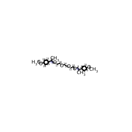 COc1ccc(/C(C)=C/OCCOCCOCCO/C=C(\C)c2ccc(OC)cc2)cc1